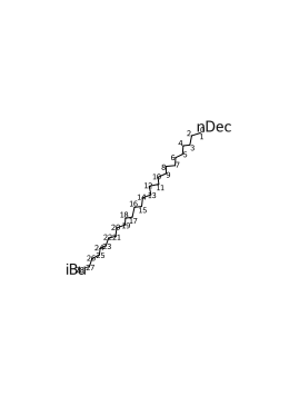 [CH2]CCCCCCCCCCCCCCCCCCCCCCCCCCCCCCCCCCCCC(C)CC